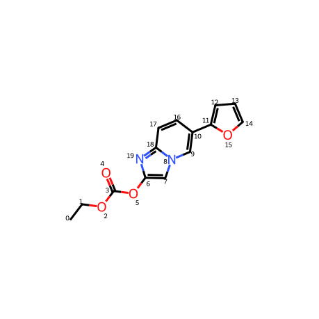 CCOC(=O)Oc1cn2cc(-c3ccco3)ccc2n1